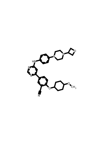 COC1CCC(Oc2ccc(-c3cc(Nc4ccc(N5CCN(C6COC6)CC5)cc4)ncn3)cc2C#N)CC1